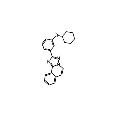 c1cc(OC2CCCCC2)cc(-c2nc3c4ccccc4ccn3n2)c1